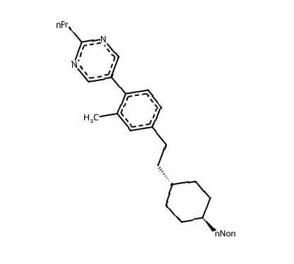 CCCCCCCCC[C@H]1CC[C@H](CCc2ccc(-c3cnc(CCC)nc3)c(C)c2)CC1